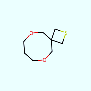 C1COCC2(COC1)CSC2